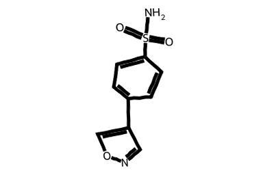 NS(=O)(=O)c1ccc(-c2cnoc2)cc1